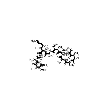 C/C=C/C[C@@H](C)[C@H](O)C(C(=O)N[C@H](CC)C(=O)N(C)CC(=O)N(C)[C@@H](CC(C)C)C(N)O)N(C)C(=O)[C@@H](C(C)C)N(C)C(=O)[C@@H](CC(C)C)N(C)C(=O)[C@H](CC(C)C)N(C)C(=O)[C@H](C)NC(=O)[C@@H](C)NC(=O)[C@H](C)N(C)C(=O)[C@@H](C)CC(C)C